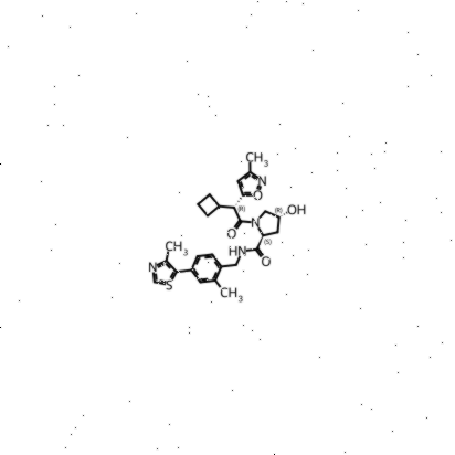 Cc1cc([C@H](C(=O)N2C[C@H](O)C[C@H]2C(=O)NCc2ccc(-c3scnc3C)cc2C)C2CCC2)on1